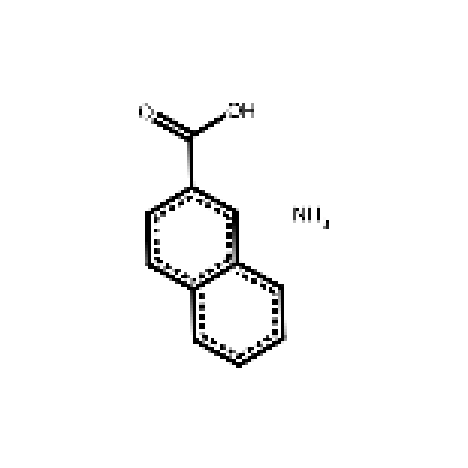 N.O=C(O)c1ccc2ccccc2c1